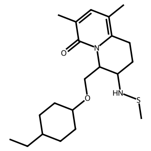 CCC1CCC(OCC2C(NSC)CCc3c(C)cc(C)c(=O)n32)CC1